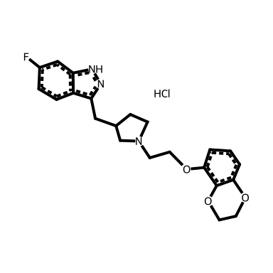 Cl.Fc1ccc2c(CC3CCN(CCOc4cccc5c4OCCO5)C3)n[nH]c2c1